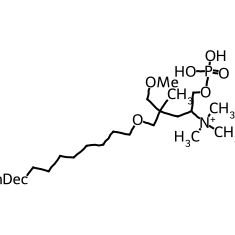 CCCCCCCCCCCCCCCCCCOCC(C)(COC)CC(COP(=O)(O)O)[N+](C)(C)C